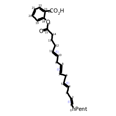 CCCCC/C=C/C/C=C/C/C=C/C/C=C/CCCC(=O)Oc1ccccc1C(=O)O